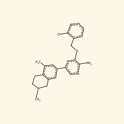 Cc1cc(-c2cnc(N)c(OCc3ccncc3Cl)n2)cc2c1CCN(C)C2